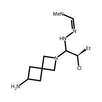 CC[C@@H](Cl)C(N/N=C\NC)N1CC2(CC(N)C2)C1